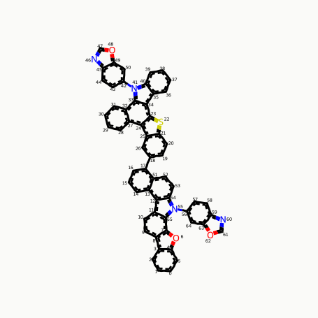 c1ccc2c(c1)oc1c2ccc2c3c4cccc(-c5ccc6sc7c(c6c5)c5ccccc5c5c7c6ccccc6n5-c5ccc6ncoc6c5)c4ccc3n(-c3ccc4ncoc4c3)c21